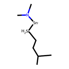 CC(C)CC[SiH2][Sn][N](C)C